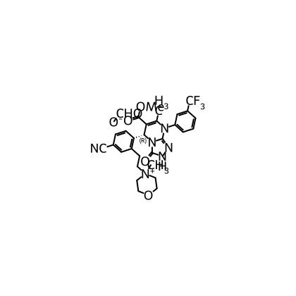 COC(=O)C1=C(C)N(c2cccc(C(F)(F)F)c2)c2n[nH]c(=O)n2[C@@H]1c1ccc(C#N)cc1CC[N+]1(C)CCOCC1.O=C[O-]